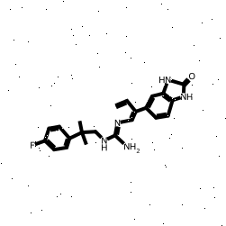 C=C/C(=C\N=C(/N)NCC(C)(C)c1ccc(F)cc1)c1ccc2[nH]c(=O)[nH]c2c1